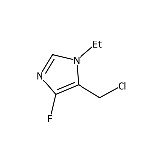 CCn1cnc(F)c1CCl